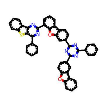 c1ccc(-c2nc(-c3ccc4c(c3)oc3c(-c5nc(-c6ccccc6)c6sc7ccccc7c6n5)cccc34)nc(-c3ccc4oc5ccccc5c4c3)n2)cc1